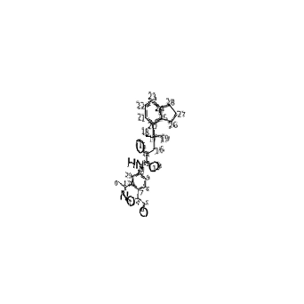 CC1=NOC(C=O)c2ccc(NC(=O)C(=O)CC(C)(C)c3cccc4c3CCC4)cc21